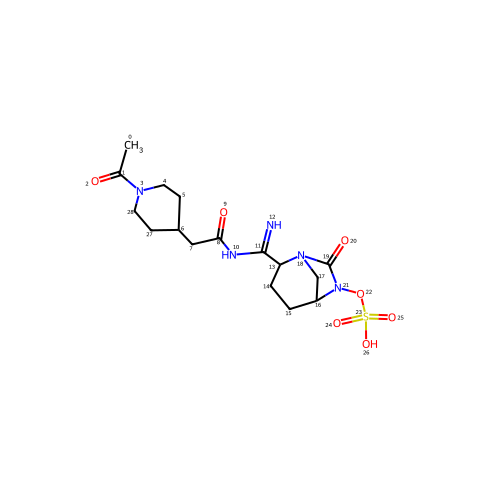 CC(=O)N1CCC(CC(=O)NC(=N)C2CCC3CN2C(=O)N3OS(=O)(=O)O)CC1